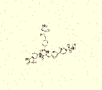 Cc1cc(S(=O)(=O)NC(C)C)ccc1-c1ccc(C[C@H](NC(=O)C2CCC(CNC(=O)OC(C)(C)C)CC2)C(=O)Nc2ccc3[nH]c(=O)[nH]c3c2)cc1